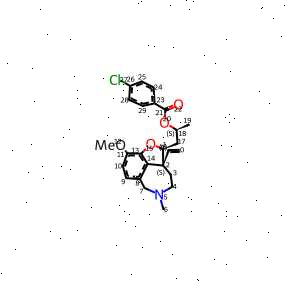 C=C[C@@]12CCN(C)Cc3ccc(OC)c(c31)O[C@H]2C[C@H](C)OC(=O)c1ccc(Cl)cc1